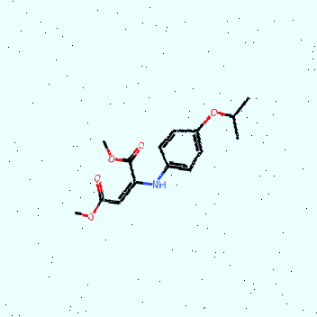 COC(=O)C=C(Nc1ccc(OC(C)C)cc1)C(=O)OC